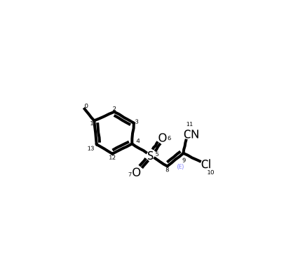 Cc1ccc(S(=O)(=O)/C=C(/Cl)C#N)cc1